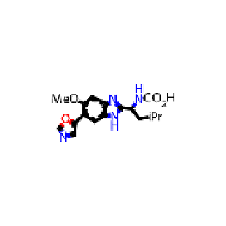 COc1cc2nc(C(CC(C)C)NC(=O)O)[nH]c2cc1-c1cnco1